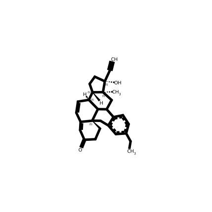 C#C[C@]1(O)CC[C@H]2[C@@H]3C=CC4=CC(=O)CC[C@@]45Cc4cc(CC)ccc4C(C[C@@]21C)C35